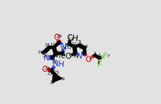 COc1nc(OCC(F)F)ccc1C(C)N1Cc2c(ccnc2NC(=O)C2CC2)C1=O